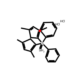 CC1=CC(C)=[C]([Ti](=[SiH2])([C]2=C(C)C=C(C)C2)([c]2ccccc2)[c]2ccccc2)C1.Cl.Cl